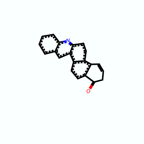 O=C1CC=Cc2c1ccc1c2ccc2nc3ccccc3cc21